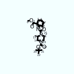 COC(=O)c1cccc2oc(N3[C@H](C)CN(C(=O)OC(C)(C)C)C[C@H]3C)nc12